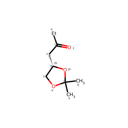 CCC(=O)C[C@H]1COC(C)(C)O1